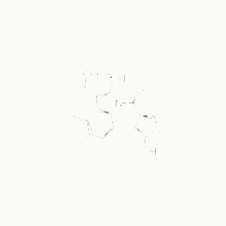 Cc1c(CC(=O)O)c2c(Cl)c(O)ccc2n1C(=O)c1csc(O)c1